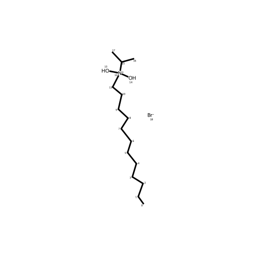 CCCCCCCCCCCC[N+](O)(O)C(C)C.[Br-]